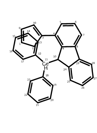 C1=CCC(c2cccc3c2[CH]([GeH]([c]2ccccc2)[c]2ccccc2)c2ccccc2-3)=C1